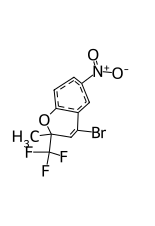 CC1(C(F)(F)F)C=C(Br)c2cc([N+](=O)[O-])ccc2O1